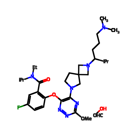 CCN(C(=O)c1cc(F)ccc1Oc1nnc(OC)nc1N1CCC2(C1)CN(C(CCCN(C)C)C(C)C)C2)C(C)C.O=CO